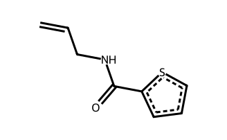 C=CCNC(=O)c1cccs1